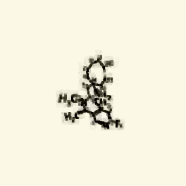 C=C(c1cnc(F)cc1C)N(C)CCC1(N)CCCCCCC1